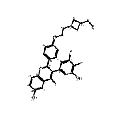 CC1=C(c2cc(O)c(F)c(F)c2)C(c2ccc(OCCN3CC(CF)C3)cc2)Oc2ccc(O)cc21